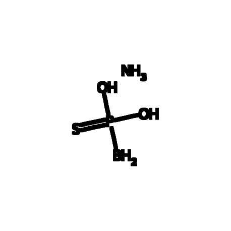 BP(O)(O)=S.N